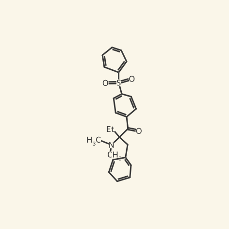 CCC(Cc1ccccc1)(C(=O)c1ccc(S(=O)(=O)c2ccccc2)cc1)N(C)C